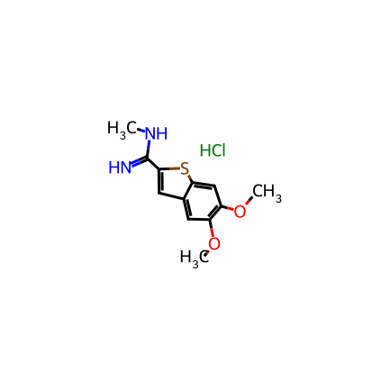 CNC(=N)c1cc2cc(OC)c(OC)cc2s1.Cl